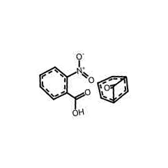 O=C(O)c1ccccc1[N+](=O)[O-].O=C1c2cccc1c2